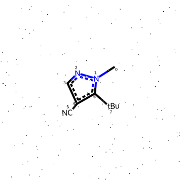 Cn1n[c]c(C#N)c1C(C)(C)C